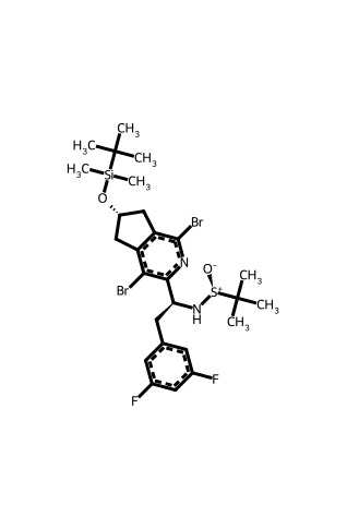 CC(C)(C)[S@+]([O-])N[C@@H](Cc1cc(F)cc(F)c1)c1nc(Br)c2c(c1Br)C[C@H](O[Si](C)(C)C(C)(C)C)C2